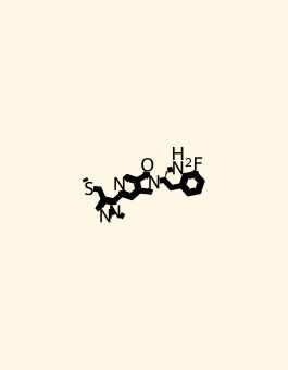 CSCc1cnn(C)c1-c1cc2c(cn1)C(=O)N([C@H](CN)Cc1cccc(F)c1)C2